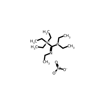 CCN=C(N(CC)CC)[N+](CC)(CC)CC.O=[N+]([O-])[O-]